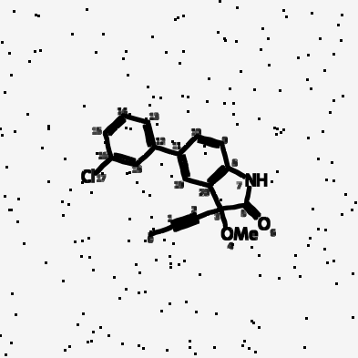 CC#CC1(OC)C(=O)Nc2ccc(-c3cccc(Cl)c3)cc21